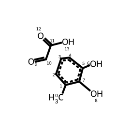 Cc1cccc(O)c1O.O=CC(=O)O